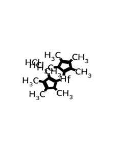 CC1=C(C)C(C)[C]([Hf][C]2=C(C)C(C)=C(C)C2C)=C1C.Cl.Cl